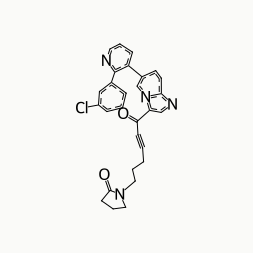 O=C(C#CCCCN1CCCC1=O)c1cnc2ccc(-c3cccnc3-c3cccc(Cl)c3)cn12